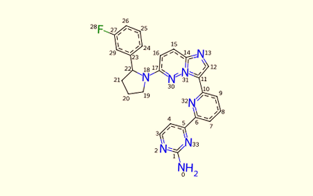 Nc1nccc(-c2cccc(-c3cnc4ccc(N5CCCC5c5cccc(F)c5)nn34)n2)n1